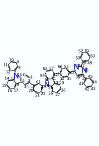 C=C/C(=C\c1cn(-c2ccccc2)c2ccccc12)c1cccc(-n2c3ccccc3c3c(-c4ccc(-c5cc(-c6ccccc6)nc(-c6ccccc6)n5)cc4)cccc32)c1